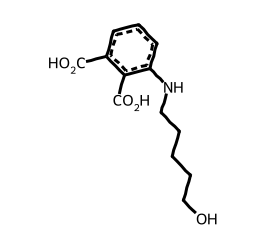 O=C(O)c1cccc(NCCCCCO)c1C(=O)O